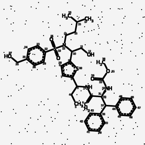 C=C(NC(CC)c1ccc(C(CO)N(CCC(C)C)S(=O)(=O)c2ccc(CO)cc2)s1)[C@@H](NC(=O)OC)C(c1ccccc1)c1ccccc1